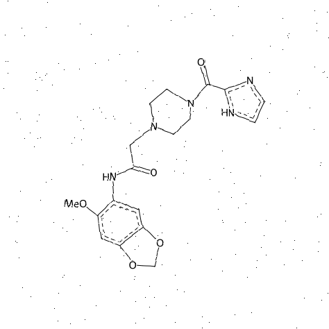 COc1cc2c(cc1NC(=O)CN1CCN(C(=O)c3ncc[nH]3)CC1)OCO2